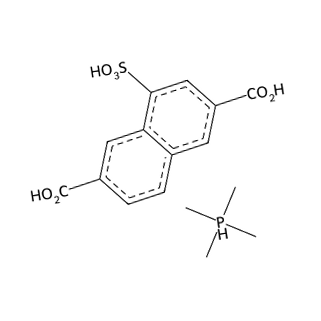 C[PH](C)(C)C.O=C(O)c1cc(S(=O)(=O)O)c2cc(C(=O)O)ccc2c1